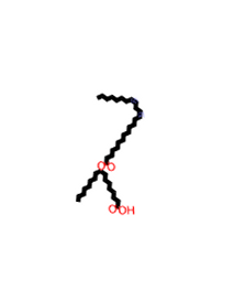 CCCCCCC/C=C\C/C=C\CCCCCCCCCCCC(=O)OC(CCCCCCCC)CCCCCCCC(=O)O